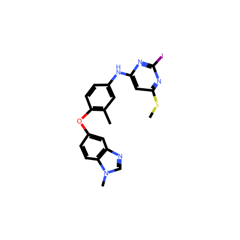 CSc1cc(Nc2ccc(Oc3ccc4c(c3)ncn4C)c(C)c2)nc(I)n1